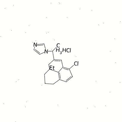 CCC12CCCc3ccc(Cl)c(c31)C=C(C(C)n1ccnc1)C2.Cl